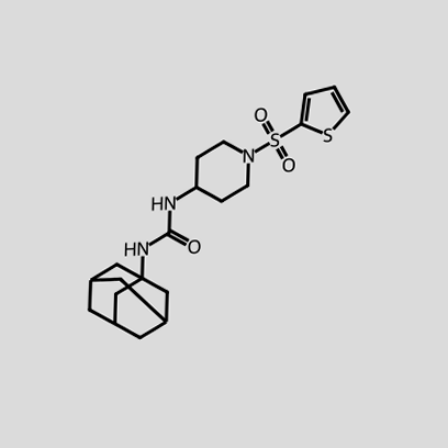 O=C(NC1CCN(S(=O)(=O)c2cccs2)CC1)NC12CC3CC(CC(C3)C1)C2